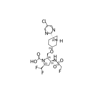 O=C(O)N1[C@H](C(F)F)C[C@H](NS(=O)(=O)CF)[C@@H]1CO[C@H]1CC[C@@]2(c3ncc(Cl)cn3)C[C@H]2C1